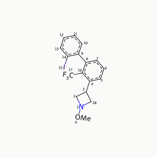 CON1CC(c2cccc(-c3ccccc3I)c2C(F)(F)F)C1